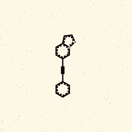 C(#Cc1ccc2c[c]nn2c1)c1ccccc1